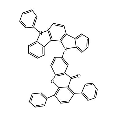 O=c1c2cc(-n3c4ccccc4c4ccc5c(c6ccccc6n5-c5ccccc5)c43)ccc2oc2c(-c3ccccc3)ccc(-c3ccccc3)c12